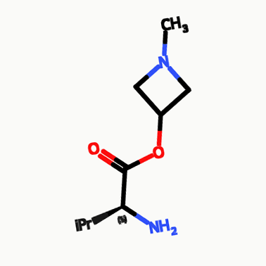 CC(C)[C@H](N)C(=O)OC1CN(C)C1